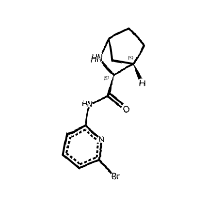 O=C(Nc1cccc(Br)n1)[C@H]1NC2CC[C@H]1C2